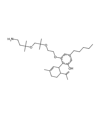 C=C(C)C1CCC(C)=CC1c1c(O)cc(CCCCC)cc1OCCOC(C)(C)COC(C)(C)CCN